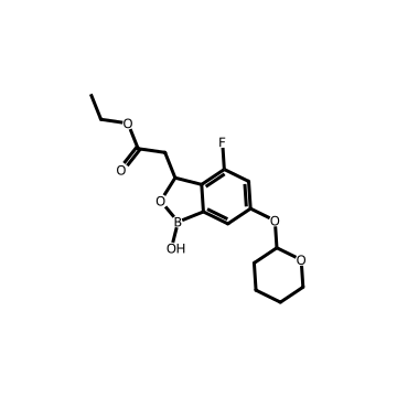 CCOC(=O)CC1OB(O)c2cc(OC3CCCCO3)cc(F)c21